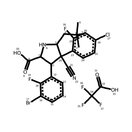 CC(C)(C)CC1NC(C(=O)O)C(c2cccc(Br)c2F)C1(C#N)c1ccc(Cl)cc1F.O=C(O)C(F)(F)F